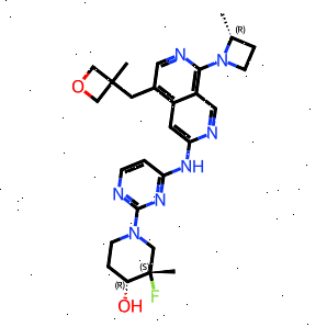 C[C@@H]1CCN1c1ncc(CC2(C)COC2)c2cc(Nc3ccnc(N4CC[C@@H](O)[C@@](C)(F)C4)n3)ncc12